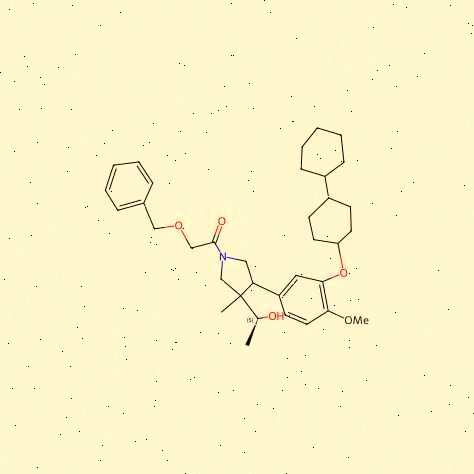 COc1ccc(C2CN(C(=O)COCc3ccccc3)CC2(C)[C@H](C)O)cc1OC1CCC(C2CCCCC2)CC1